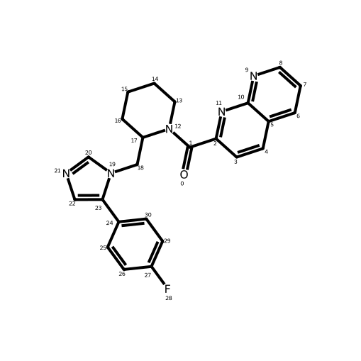 O=C(c1ccc2cccnc2n1)N1CCCCC1Cn1cncc1-c1ccc(F)cc1